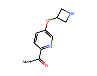 CNC(=O)c1ccc(OC2CNC2)cn1